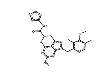 COc1c(C)cnc(Cn2nc3c4c(nc(N)nc42)SC(C(=O)Nc2nncs2)C3)c1C